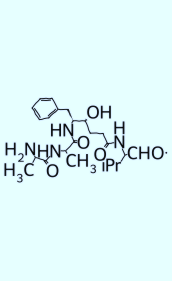 CC(N)C(=O)NC(C)C(=O)N[C@@H](Cc1ccccc1)[C@@H](O)CCC(=O)NC([C]=O)C(C)C